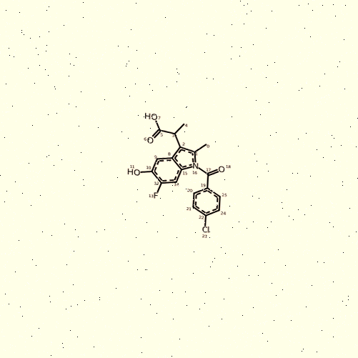 Cc1c(C(C)C(=O)O)c2cc(O)c(F)cc2n1C(=O)c1ccc(Cl)cc1